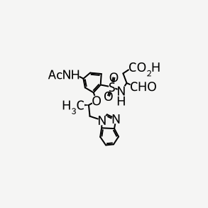 CC(=O)Nc1ccc(S(=O)(=O)NC(C=O)CC(=O)O)c(O[C@H](C)Cn2cnc3ccccc32)c1